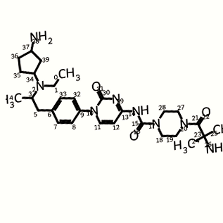 CCN(C(C)Cc1ccc(-n2ccc(NC(=O)N3CCN(C(=O)C(C)(C)N)CC3)nc2=O)cc1)C1CCC(N)C1